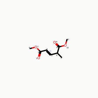 COC(=O)/C=C/C(C)C(=O)OC